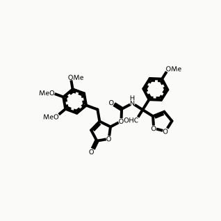 COc1ccc(C(C=O)(NC(=O)OC2OC(=O)C=C2Cc2cc(OC)c(OC)c(OC)c2)C2=CCOO2)cc1